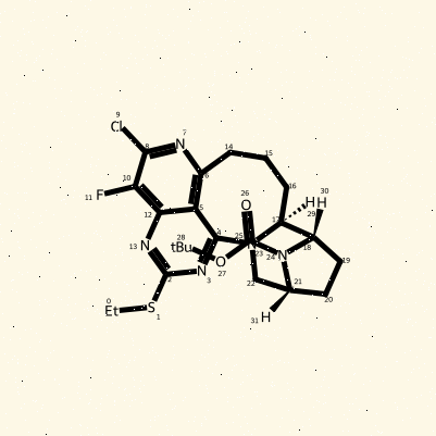 CCSc1nc2c3c(nc(Cl)c(F)c3n1)CCC[C@H]1[C@@H]3CC[C@H](CN21)N3C(=O)OC(C)(C)C